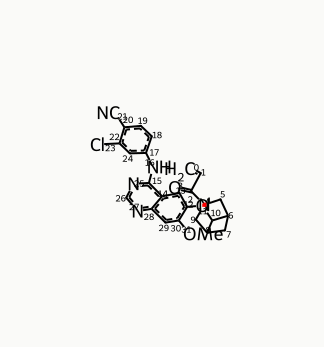 C=CC(=O)N1CC2CC(C1)C2Oc1cc2c(Nc3ccc(C#N)c(Cl)c3)ncnc2cc1OC